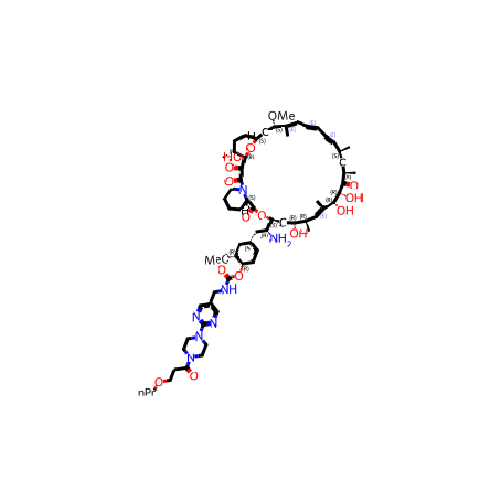 CCCOCCC(=O)N1CCN(c2ncc(CNC(=O)O[C@@H]3CC[C@@H](C[C@@H](N)[C@@H]4C[C@@H](O)[C@H](C)/C=C(\C)[C@@H](O)[C@@H](O)C(=O)[C@H](C)C[C@H](C)/C=C/C=C/C=C(\C)[C@@H](OC)C[C@@H]5CC[C@@H](C)[C@@](O)(O5)C(=O)C(=O)N5CCCC[C@H]5C(=O)O4)C[C@H]3OC)cn2)CC1